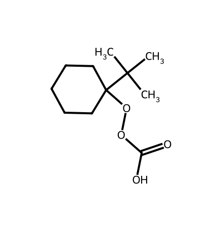 CC(C)(C)C1(OOC(=O)O)CCCCC1